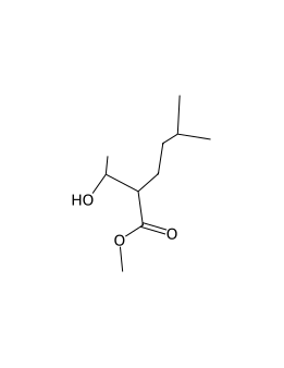 COC(=O)C(CCC(C)C)C(C)O